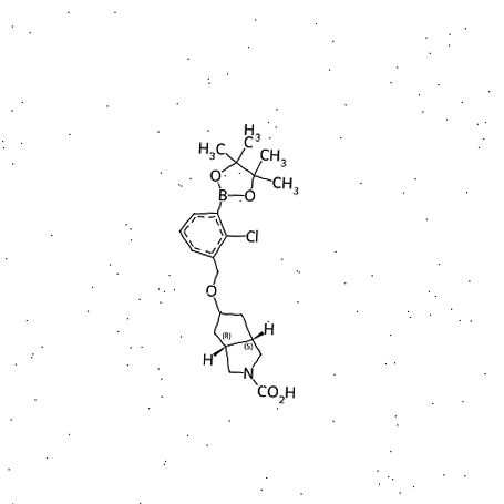 CC1(C)OB(c2cccc(COC3C[C@@H]4CN(C(=O)O)C[C@@H]4C3)c2Cl)OC1(C)C